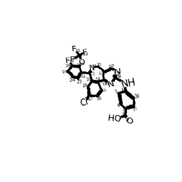 O=C(O)c1ccc(Nc2ncc3c(n2)-c2ccc(Cl)cc2C(c2cccc(F)c2OC(F)(F)F)=NC3)cc1